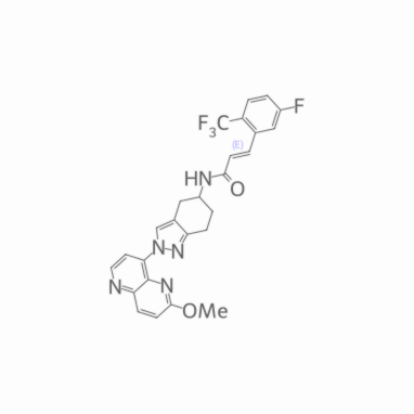 COc1ccc2nccc(-n3cc4c(n3)CCC(NC(=O)/C=C/c3cc(F)ccc3C(F)(F)F)C4)c2n1